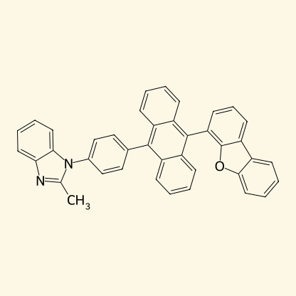 Cc1nc2ccccc2n1-c1ccc(-c2c3ccccc3c(-c3cccc4c3oc3ccccc34)c3ccccc23)cc1